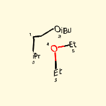 CC(C)COCC(C)C.CCOCC